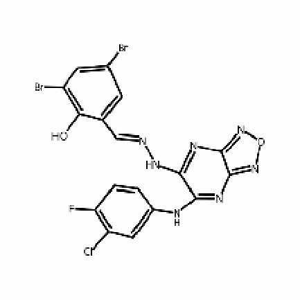 Oc1c(Br)cc(Br)cc1C=NNc1nc2nonc2nc1Nc1ccc(F)c(Cl)c1